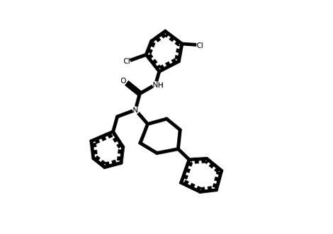 O=C(Nc1cc(Cl)ccc1Cl)N(Cc1ccccc1)C1CCC(c2ccccc2)CC1